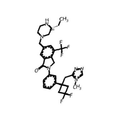 CC[C@@H]1CN(Cc2cc3c(c(C(F)(F)F)c2)CN(c2cccc(C4(Cc5nncn5C)CC(F)(F)C4)c2)C3=O)CCN1